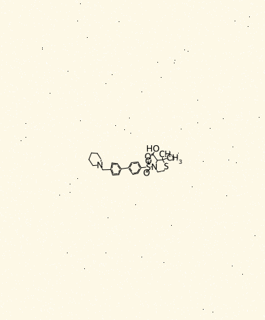 CC1(C)SCCN(S(=O)(=O)c2ccc(-c3ccc(CN4CCCCC4)cc3)cc2)C1C(=O)O